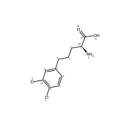 N[C@@H](CCCc1ccc(Cl)c(Cl)c1)C(=O)O